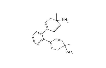 CC1(N)C=CC(c2ccccc2C2=CCC(C)(N)C=C2)=CC1